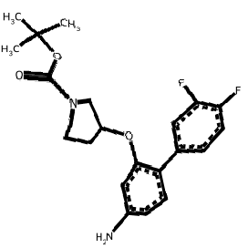 CC(C)(C)OC(=O)N1CCC(Oc2cc(N)ccc2-c2ccc(F)c(F)c2)C1